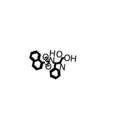 O=C(O)C1=Nc2ccccc2C1NS(=O)(=O)c1cccc2ccccc12